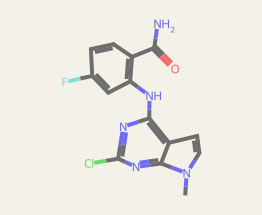 Cn1ccc2c(Nc3cc(F)ccc3C(N)=O)nc(Cl)nc21